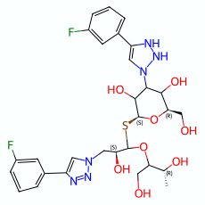 C[C@@H](O)C(CO)OC(S[C@@H]1O[C@H](CO)C(O)C(N2C=C(c3cccc(F)c3)NN2)C1O)[C@@H](O)Cn1cc(-c2cccc(F)c2)nn1